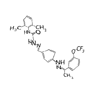 CC(=NNc1ccc(C=NNC(=O)Nc2c(C)cccc2C)cc1)c1cccc(OC(F)(F)F)c1